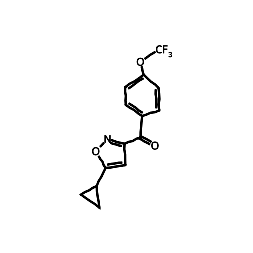 O=C(c1ccc(OC(F)(F)F)cc1)c1cc(C2CC2)on1